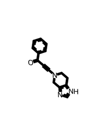 O=C(C#CN1CCc2[nH]cnc2C1)c1ccccc1